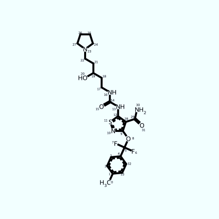 Cc1ccc(C(F)(F)Oc2nsc(NC(=O)NCCC(O)CCN3CCCC3)c2C(N)=O)cc1